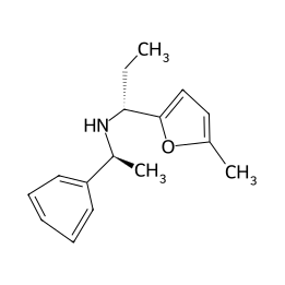 CC[C@@H](N[C@@H](C)c1ccccc1)c1ccc(C)o1